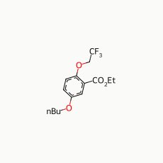 CCCCOc1ccc(OCC(F)(F)F)c(C(=O)OCC)c1